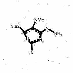 CNc1c(NN)nc(Cl)nc1SC